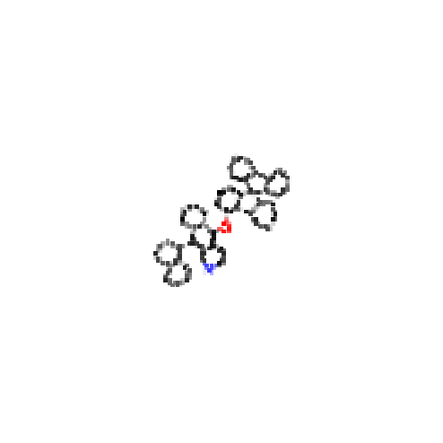 c1ccc2c(c1)-c1ccccc1C21c2ccccc2-c2c(Oc3c4ccccc4c(-c4cccc5ccccc45)c4cnccc34)cccc21